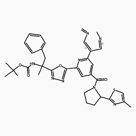 C=N/C=C(\C=N/C)c1cc(C(=O)N2CCCC2c2nc(C)cs2)cc(-c2nnc(C(C)(Cc3ccccc3)NC(=O)OC(C)(C)C)o2)n1